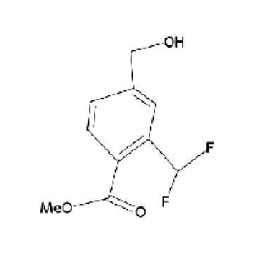 COC(=O)c1ccc(CO)cc1C(F)F